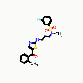 Cc1ccccc1C(=O)c1cnc(NCCCN(C)S(=O)(=O)c2cccc(F)c2)s1